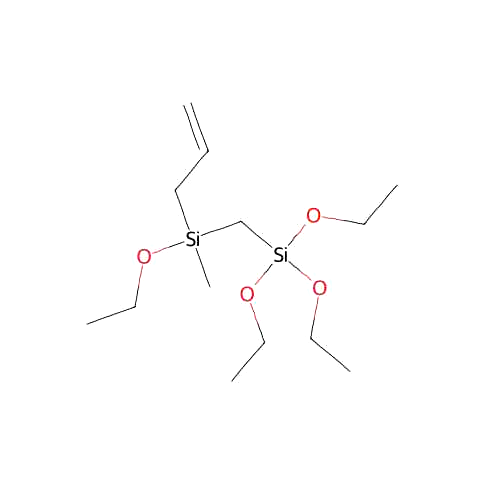 C=CC[Si](C)(C[Si](OCC)(OCC)OCC)OCC